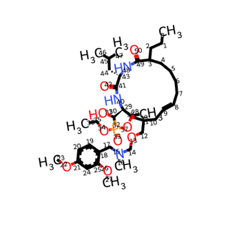 CCCC1CCCC/C=C/CC(COCN(C)Cc2ccc(OC)cc2OC)C[C@@H](C(O)P(=O)(OCC)OCC)NC(=O)[C@H](CC(C)C)NC1=O